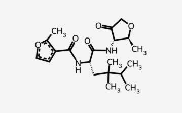 Cc1occc1C(=O)N[C@@H](CC(C)(C)C(C)C)C(=O)N[C@@H]1C(=O)CO[C@H]1C